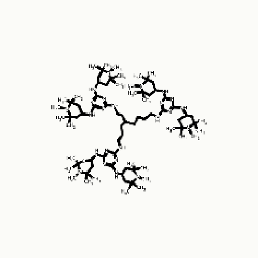 CN1C(C)(C)CC(Nc2nc(NCCCCC(CCCNc3nc(NC4CC(C)(C)N(C)C(C)(C)C4)nc(NC4CC(C)(C)N(C)C(C)(C)C4)n3)CCNc3nc(NC4CC(C)(C)N(C)C(C)(C)C4)nc(NC4CC(C)(C)N(C)C(C)(C)C4)n3)nc(NC3CC(C)(C)N(C)C(C)(C)C3)n2)CC1(C)C